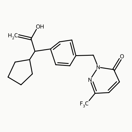 C=C(O)C(c1ccc(Cn2nc(C(F)(F)F)ccc2=O)cc1)C1CCCC1